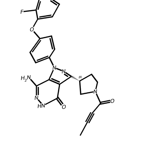 CC#CC(=O)N1CC[C@@H](c2nn(-c3ccc(Oc4ccccc4F)cc3)c3c(N)n[nH]c(=O)c23)C1